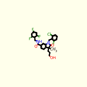 CC1(CCCO)C(=O)N(Cc2c(F)cccc2Cl)c2cc(C(=O)NCc3c(F)cc(F)cc3F)ccc21